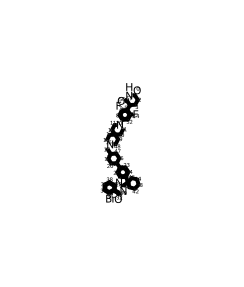 O=C1CCC(c2c(F)cc(N3CCC4(CCN(CC5CCC(c6ccc7c(c6)-n6c(nc(=O)c8c(Br)cccc86)C76CCCCC6)CC5)CC4)CC3)cc2F)C(=O)N1